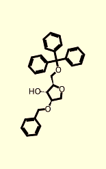 O[C@H]1[C@H](OCc2ccccc2)CO[C@@H]1COC(c1ccccc1)(c1ccccc1)c1ccccc1